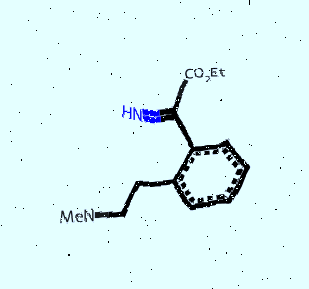 CCOC(=O)C(=N)c1ccccc1CCNC